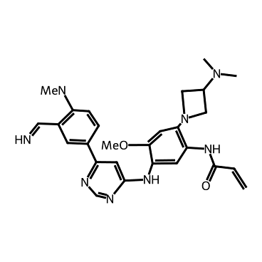 C=CC(=O)Nc1cc(Nc2cc(-c3ccc(NC)c(C=N)c3)ncn2)c(OC)cc1N1CC(N(C)C)C1